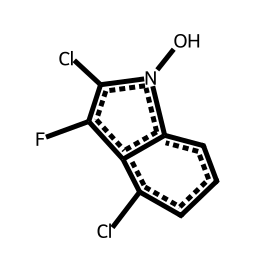 On1c(Cl)c(F)c2c(Cl)cccc21